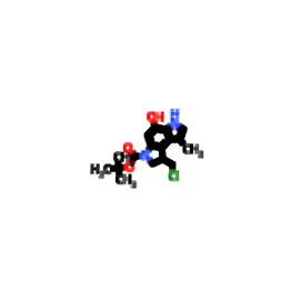 Cc1c[nH]c2c(O)cc3c(c12)C(CCl)CN3C(=O)OC(C)(C)C